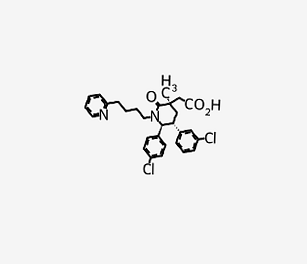 C[C@]1(CC(=O)O)C[C@H](c2cccc(Cl)c2)[C@@H](c2ccc(Cl)cc2)N(CCCCc2ccccn2)C1=O